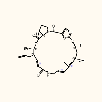 C=CC[C@@H]1/C=C/C(=O)NC/C=C/C(C)=C/[C@@H](O)C[C@@H](F)Cc2nc(co2)C(=O)N2CCC[C@@H]2C(=O)O[C@@H]1C(C)C